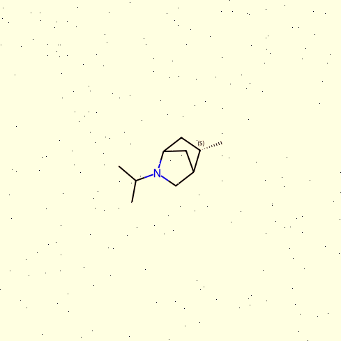 CC(C)N1CC2CC1C[C@@H]2C